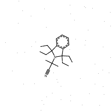 CCC1(CC)c2ccccc2C(CC)(CC)N1C(C)(C)C#N